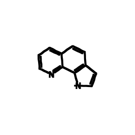 C1=Cc2ccc3cccnc3c2[N]1